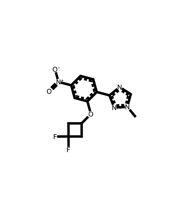 Cn1cnc(-c2ccc([N+](=O)[O-])cc2OC2CC(F)(F)C2)n1